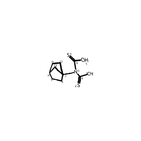 OC(=S)N(C(O)=S)C12CCC(CC1)C2